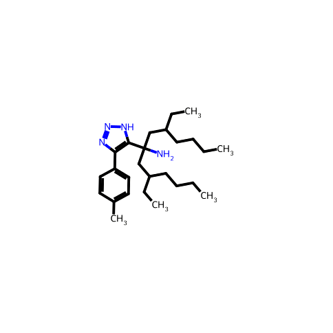 CCCCC(CC)CC(N)(CC(CC)CCCC)c1[nH]nnc1-c1ccc(C)cc1